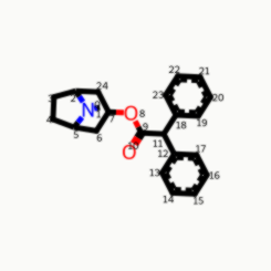 CN1C2CCC1CC(OC(=O)C(c1ccccc1)c1ccccc1)C2